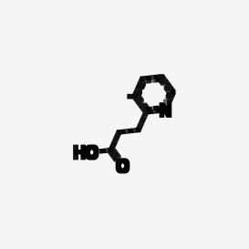 O=C(O)CCc1[c]cccn1